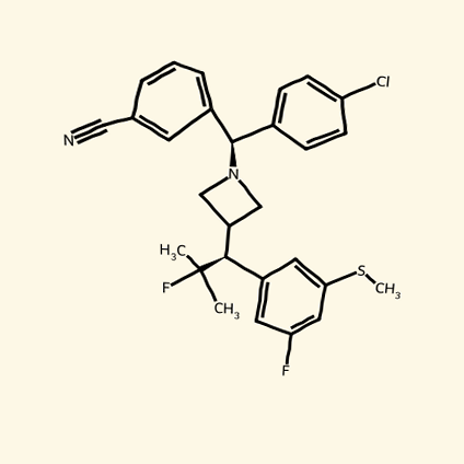 CSc1cc(F)cc([C@H](C2CN([C@H](c3ccc(Cl)cc3)c3cccc(C#N)c3)C2)C(C)(C)F)c1